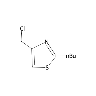 CCCCc1nc(CCl)cs1